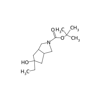 CCC1(O)CC2CN(C(=O)OC(C)(C)C)CC2C1